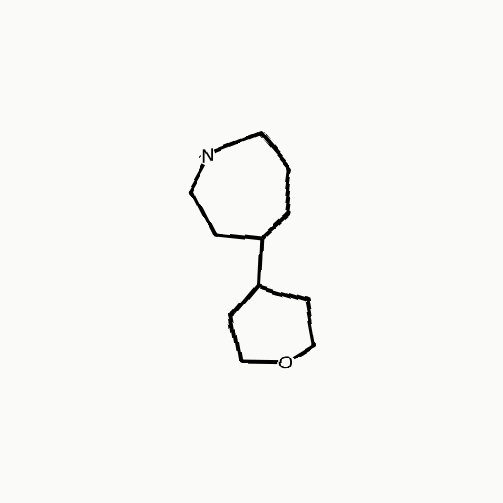 C1C[N]CCC(C2CCOCC2)C1